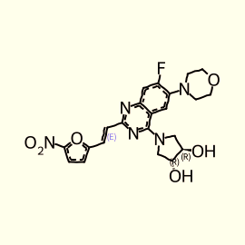 O=[N+]([O-])c1ccc(/C=C/c2nc(N3C[C@@H](O)[C@H](O)C3)c3cc(N4CCOCC4)c(F)cc3n2)o1